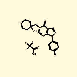 O=C(O)C(F)(F)F.O=c1c2cnn(-c3ccc(F)cc3)c2ncn1CC1(O)CCNCC1